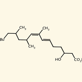 CCC(C)CC(C)CC(C)C=C(C)C=CCCC(O)CC(=O)O